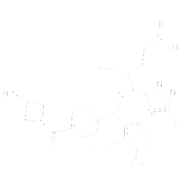 Cc1sc2c(c1C)C(c1ccc(C(=O)N3CC(N)C3)cc1)=NC(C(CCN(C)C)C(=O)O)c1nnc(C)n1-2